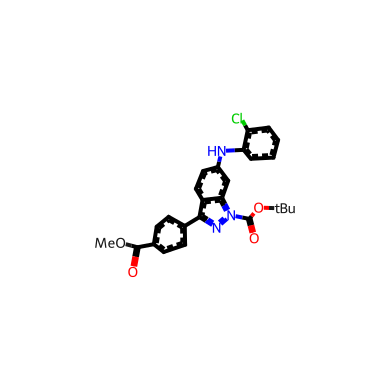 COC(=O)c1ccc(-c2nn(C(=O)OC(C)(C)C)c3cc(Nc4ccccc4Cl)ccc23)cc1